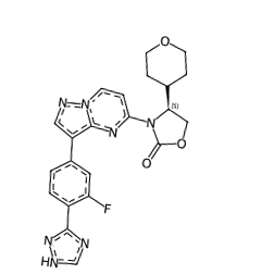 O=C1OC[C@H](C2CCOCC2)N1c1ccn2ncc(-c3ccc(-c4nc[nH]n4)c(F)c3)c2n1